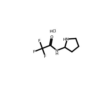 Cl.O=C(NC1CCCN1)C(F)(F)F